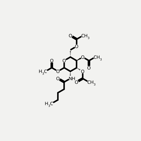 CCCCC(=O)N[C@@H]1C(OC(C)=O)O[C@H](COC(C)=O)[C@@H](OC(C)=O)[C@@H]1OC(C)=O